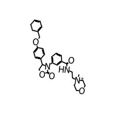 C[N+]1(CCNC(=O)c2cccc(N3C(=O)OCC3c3ccc(OCC4=CC=CCC4)cc3)c2)CCOCC1